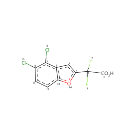 O=C(O)C(F)(F)c1cc2c(Cl)c(Cl)ccc2o1